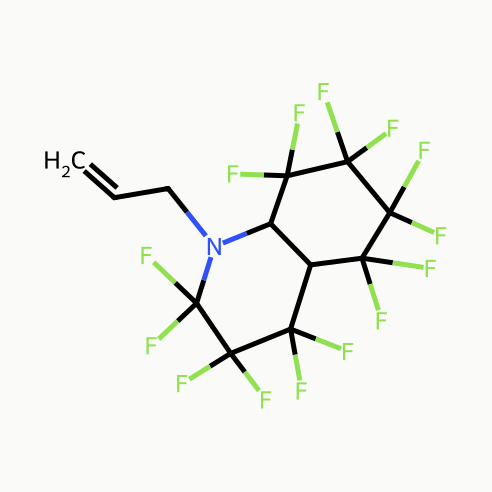 C=CCN1C2C(C(F)(F)C(F)(F)C1(F)F)C(F)(F)C(F)(F)C(F)(F)C2(F)F